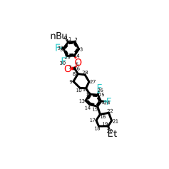 CCCCc1ccc(OC(=O)C2CCC(c3ccc(C4CCC(CC)CC4)c(F)c3F)CC2)c(F)c1F